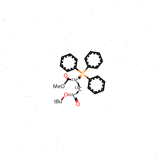 COC(=O)[13C]([13CH2][13C](=O)OC(C)(C)C)=P(c1ccccc1)(c1ccccc1)c1ccccc1